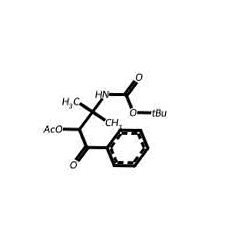 CC(=O)OC(C(=O)c1ccccc1)C(C)(C)NC(=O)OC(C)(C)C